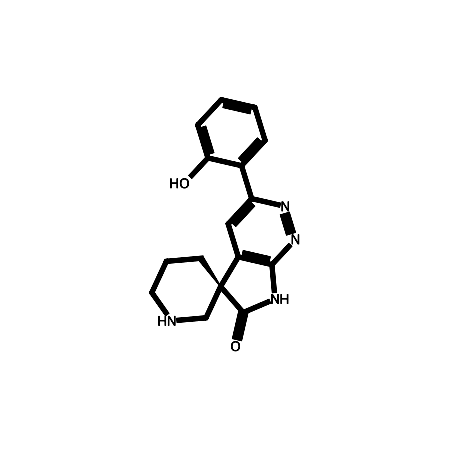 O=C1Nc2nnc(-c3ccccc3O)cc2[C@]12CCCNC2